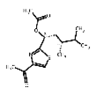 CC(=O)O[C@H](C[C@@H](C)C(C)C)c1nc(C(C)=O)cs1